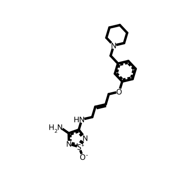 Nc1n[s+]([O-])nc1NCC=CCOc1cccc(CN2CCCCC2)c1